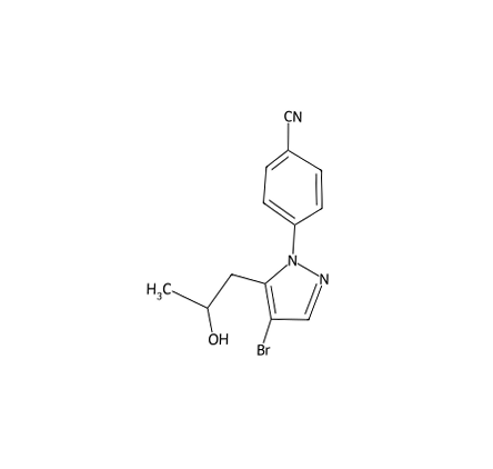 CC(O)Cc1c(Br)cnn1-c1ccc(C#N)cc1